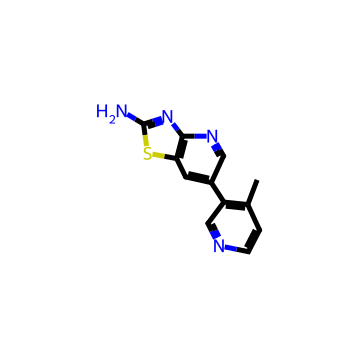 Cc1ccncc1-c1cnc2nc(N)sc2c1